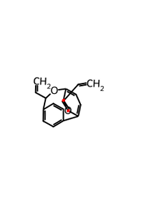 C=CC1Oc2ccc(c3c2C(C=C)O3)-c2ccc1cc2